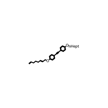 C=CCCCC=CCOc1ccc(C#Cc2ccc(OCCCCCCC)cc2)cc1